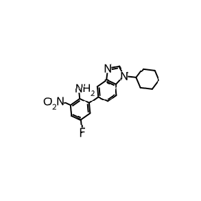 Nc1c(-c2ccc3c(c2)ncn3C2CCCCC2)cc(F)cc1[N+](=O)[O-]